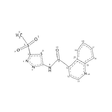 CS(=O)(=O)c1nnc(NC(=O)c2ccnc3ccccc23)s1